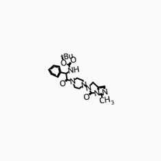 Cc1ncc2n1C(=O)N(N1CCN(C(=O)C(NC(=O)OC(C)(C)C)c3ccccc3)CC1)C2